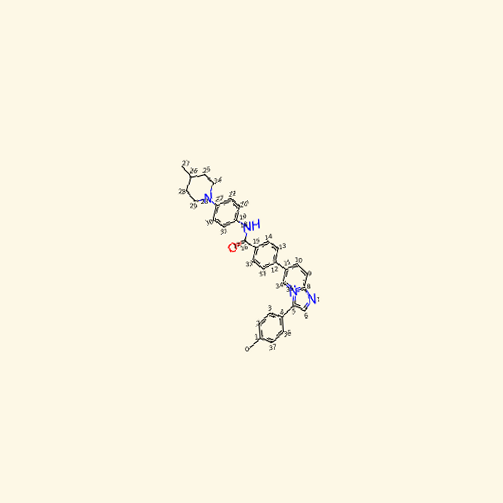 Cc1ccc(-c2cnc3ccc(-c4ccc(C(=O)Nc5ccc(N6CCC(C)CC6)cc5)cc4)cn23)cc1